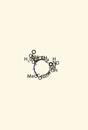 COC1\C=C/C=C\C=C/CC(OC(=O)C(C)NC(=O)C2CCCCC2)C(C)C(O)/C(C)=C\CCc2cc3c(c(c2)NC(O)CCCCCCC(=O)C1)SCC(=O)N3